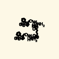 NC(=NNC=C=Cc1cccn1-c1ccccc1[N+](=O)[O-])NOC(=O)CCCC(=O)ONC(N)=NNC=C=Cc1cccn1-c1ccccc1[N+](=O)[O-]